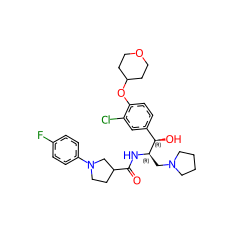 O=C(N[C@H](CN1CCCC1)[C@H](O)c1ccc(OC2CCOCC2)c(Cl)c1)C1CCN(c2ccc(F)cc2)C1